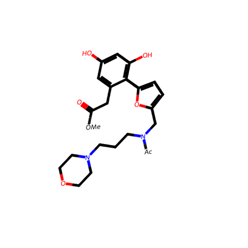 COC(=O)Cc1cc(O)cc(O)c1-c1ccc(CN(CCCN2CCOCC2)C(C)=O)o1